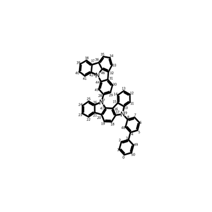 c1ccc(-c2cccc(-n3c4ccccc4c4c3ccc3c5ccccc5n(-c5ccc6c7cccc8c9ccccc9n(c6c5)c87)c34)c2)cc1